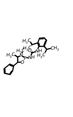 CC(C)c1cccc(C(C)C)c1NC(=O)NP1OC(c2ccccc2)C(C)N1C